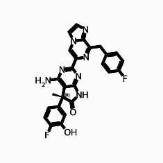 C[C@]1(c2ccc(F)c(O)c2)C(=O)Nc2nc(-c3cn4ccnc4c(Cc4ccc(F)cc4)n3)nc(N)c21